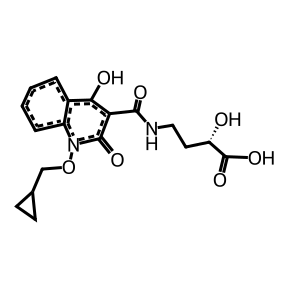 O=C(NCC[C@H](O)C(=O)O)c1c(O)c2ccccc2n(OCC2CC2)c1=O